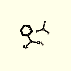 CN(C)c1ccccc1.FB(F)F